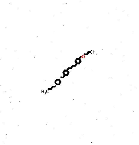 C=CCCC[C@H]1CC[C@H](CCc2ccc(CCCCc3ccc(COCC=CC)cc3)cc2)CC1